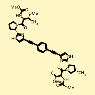 COC(=O)N[C@H](C(=O)N1CCC[C@H]1c1nc(C#Cc2ccc(C#Cc3c[nH]c([C@@H]4C[C@H](C)CN4C(=O)[C@@H](NC(=O)OC)[C@@H](C)OC)n3)cc2)c[nH]1)[C@@H](C)OC